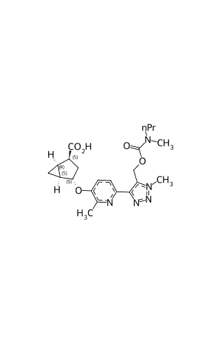 CCCN(C)C(=O)OCc1c(-c2ccc(O[C@H]3C[C@H](C(=O)O)[C@@H]4C[C@@H]43)c(C)n2)nnn1C